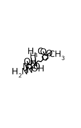 COc1ccc(CCC(=O)Nc2c(O)nc(N)nc2O)cc1OC